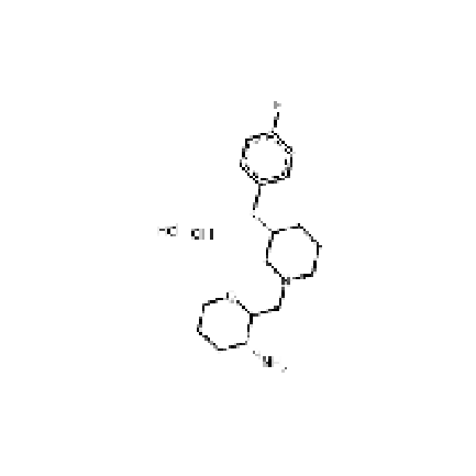 Cl.Cl.N[C@@H]1CCCO[C@H]1CN1CCC[C@@H](Cc2ccc(F)cc2)C1